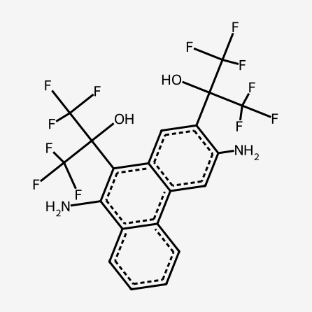 Nc1cc2c(cc1C(O)(C(F)(F)F)C(F)(F)F)c(C(O)(C(F)(F)F)C(F)(F)F)c(N)c1ccccc12